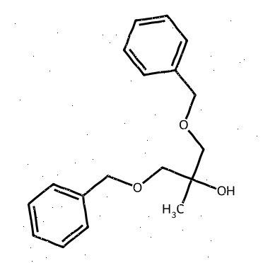 CC(O)(COCc1ccccc1)COCc1ccccc1